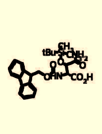 CC(C)(C)[Si](C)(C)OC(C(N)=O)[C@H](NC(=O)OCC1c2ccccc2-c2ccccc21)C(=O)O